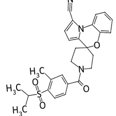 Cc1cc(C(=O)N2CCC3(CC2)Oc2ccccc2-n2c(C#N)ccc23)ccc1S(=O)(=O)C(C)C